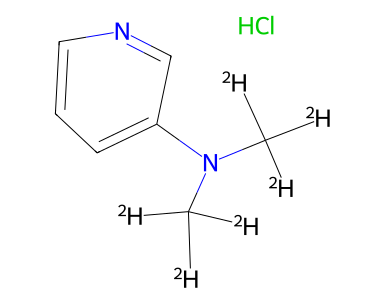 Cl.[2H]C([2H])([2H])N(c1cccnc1)C([2H])([2H])[2H]